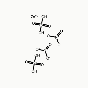 O=S(=O)(O)O.O=S(=O)(O)O.O=[N+]([O-])[O-].O=[N+]([O-])[O-].[Zn+2]